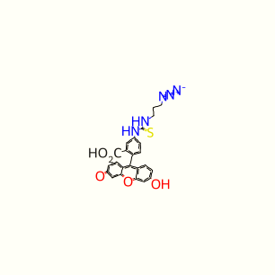 [N-]=[N+]=NCCCNC(=S)Nc1ccc(-c2c3ccc(=O)cc-3oc3cc(O)ccc23)c(C(=O)O)c1